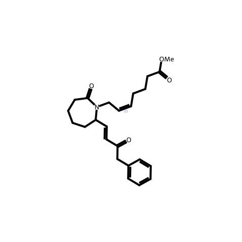 COC(=O)CCC/C=C\CN1C(=O)CCCCC1C=CC(=O)Cc1ccccc1